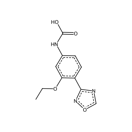 CCOc1cc(NC(=O)O)ccc1-c1ncon1